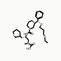 CCOCCCO[C@@H](c1ccccc1)[C@@H]1CCCN(C(=O)N[C@@H](CC2CCCCC2)CN(C)C(=O)O)C1